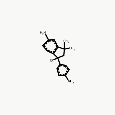 CCC1(c2ccc(N)cc2)CC(C)(C)c2cc(N)ccc21